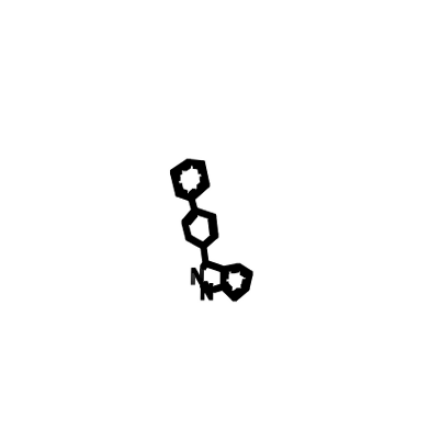 C1=CC(C2N=Nc3ccccc32)CC=C1c1ccccc1